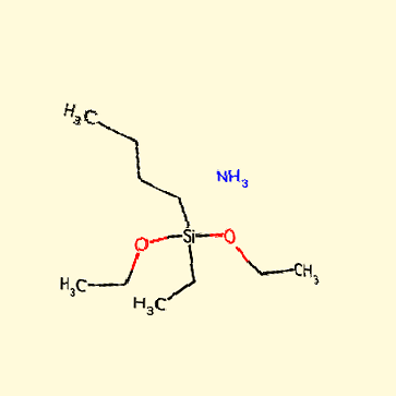 CCCC[Si](CC)(OCC)OCC.N